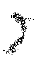 COc1cc(N2CCN(CCCCOc3ccc(C4CCN(c5ccc(C)c6c(C#N)c[nH]c56)CC4)cc3)CC2)cc2c1C(=O)N(C1CCC(=O)NC1=O)C2=O